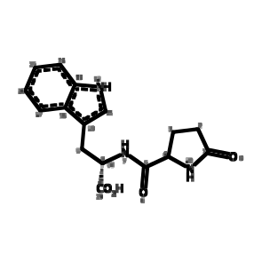 O=C1CCC(C(=O)N[C@@H](Cc2c[nH]c3ccccc23)C(=O)O)N1